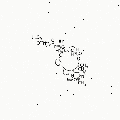 C=CC(=O)N1CC2(CCN([C@H](C(=O)N[C@H]3Cc4cccc(c4)-c4ccc5c(c4)c(c(-c4cccnc4[C@H](C)OC)n5C)CC(C)(C)COC(=O)[C@@H]4CCCN(N4)C3=O)C(C)C)C2=O)C1